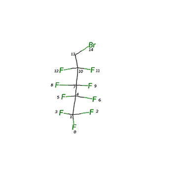 FC(F)(F)C(F)(F)C(F)(F)C(F)(F)CBr